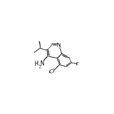 CC(C)c1cnc2cc(F)cc(Cl)c2c1N